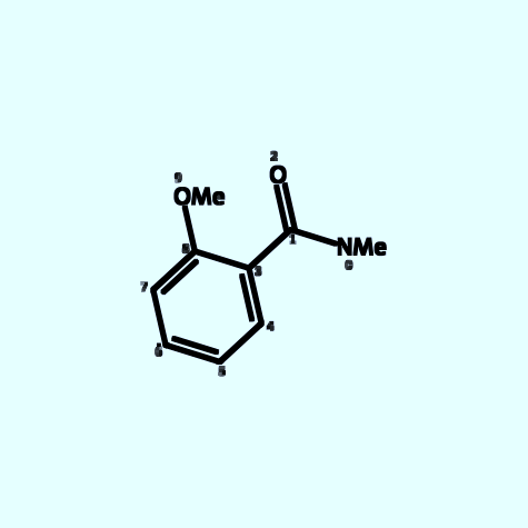 CNC(=O)c1cc[c]cc1OC